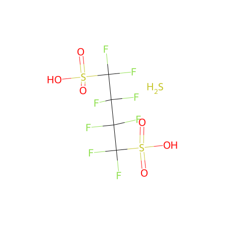 O=S(=O)(O)C(F)(F)C(F)(F)C(F)(F)C(F)(F)S(=O)(=O)O.S